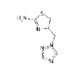 NC1=NC(Cn2cncn2)CS1